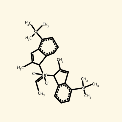 C[CH]=[Hf]([Cl])([Cl])([CH]1C(C)=Cc2c1cccc2[Si](C)(C)C)[CH]1C(C)=Cc2c1cccc2[Si](C)(C)C